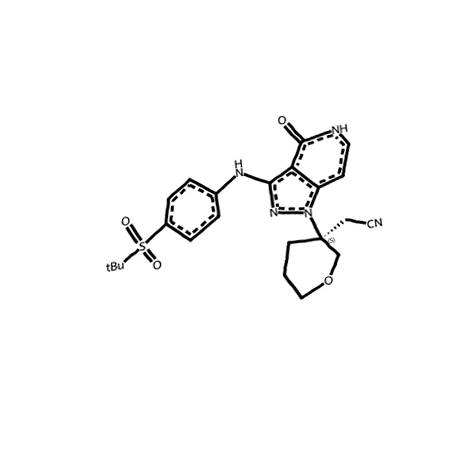 CC(C)(C)S(=O)(=O)c1ccc(Nc2nn([C@]3(CC#N)CCCOC3)c3cc[nH]c(=O)c23)cc1